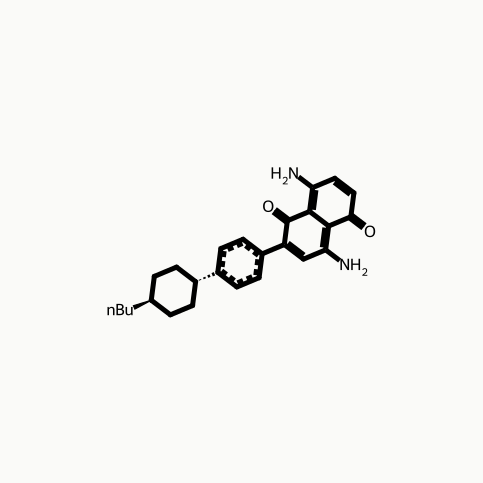 CCCC[C@H]1CC[C@H](c2ccc(C3=CC(N)=C4C(=O)C=CC(N)=C4C3=O)cc2)CC1